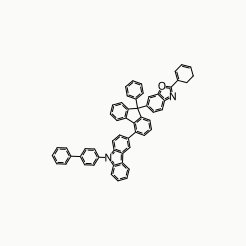 C1=CCCC(c2nc3ccc(C4(c5ccccc5)c5ccccc5-c5c(-c6ccc7c(c6)c6ccccc6n7-c6ccc(-c7ccccc7)cc6)cccc54)cc3o2)=C1